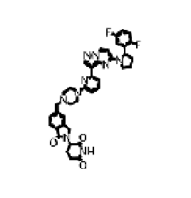 O=C1CCC(N2Cc3cc(CN4CCN(c5cccc(-c6cnn7ccc(N8CCC[C@@H]8c8cc(F)ccc8F)nc67)n5)CC4)ccc3C2=O)C(=O)N1